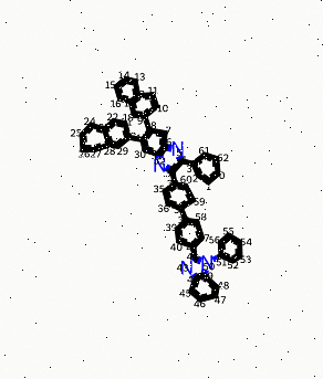 c1ccc(-c2nc3cc(-c4ccc5ccccc5c4)c(-c4ccc5ccccc5c4)cc3nc2-c2ccc(-c3ccc(-c4nc5ccccc5n4-c4ccccc4)cc3)cc2)cc1